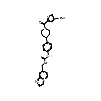 COc1csc(C(=O)N2CCC(c3ccc(NC(=O)NCc4ccn5ccnc5c4)cc3)CC2)c1